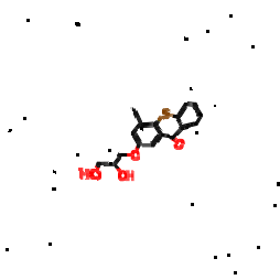 Cc1cc(OCC(O)CO)cc2c(=O)c3ccccc3sc12